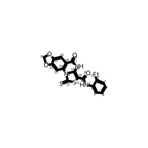 CCc1ccccc1NC(=O)c1sc(=S)n2c1[nH]c(=O)c1cc3c(cc12)OCO3